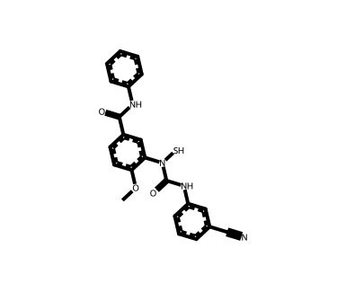 COc1ccc(C(=O)Nc2ccccc2)cc1N(S)C(=O)Nc1cccc(C#N)c1